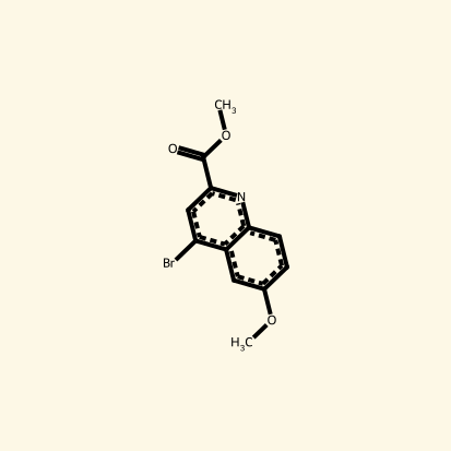 COC(=O)c1cc(Br)c2cc(OC)ccc2n1